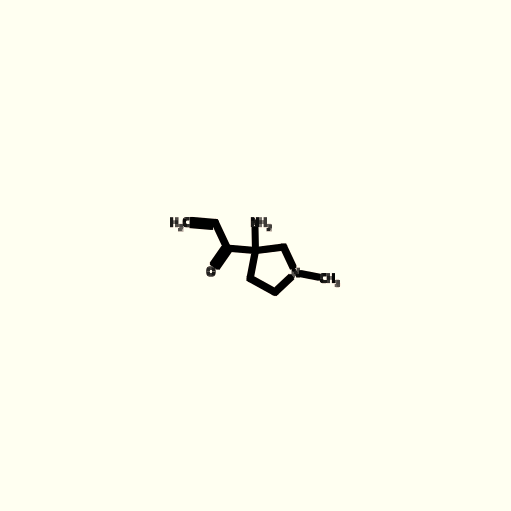 C=CC(=O)C1(N)CCN(C)C1